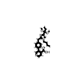 CCCCn1nc(C(CC)(OC)OC)nc1Cc1ccc(-c2cnccc2C(=O)O)cc1